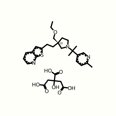 CCOC[C@@]1(CCc2cc3cccnc3s2)CCN(C(C)(C)c2ccc(C)nc2)C1.O=C(O)CC(O)(CC(=O)O)C(=O)O